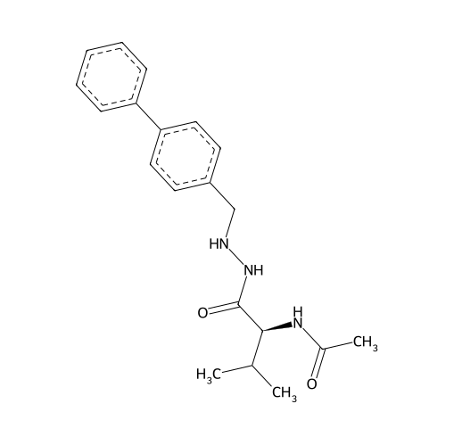 CC(=O)N[C@H](C(=O)NNCc1ccc(-c2ccccc2)cc1)C(C)C